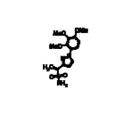 C=C(c1ccn(-c2ccc(OC)c(OC)c2OC)n1)S(N)(=O)=O